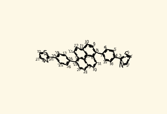 c1csc(-c2ccc(-c3ccc4ccc5c(-c6ccc(-c7nccs7)cc6)ccc6ccc3c4c65)cc2)n1